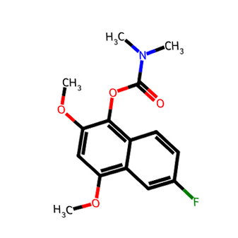 COc1cc(OC)c2cc(F)ccc2c1OC(=O)N(C)C